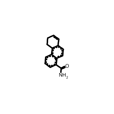 NC(=O)c1cccc2c3c(ccc12)C=CCC3